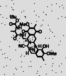 COC1=C(C)C(=O)C2=C(C1=O)[C@H](CNC(=O)C(C)NC(=O)OC(C)(C)C)N1C(C2)[C@H]2c3c(cc(C)c(OC)c3O)C[C@@H](C1C#N)N2C